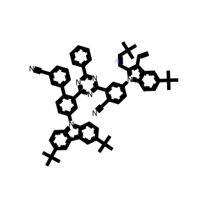 C=Cc1c(/C=C\C(C)(C)C)n(-c2ccc(C#N)c(-c3nc(-c4ccccc4)nc(-c4cc(-n5c6ccc(C(C)(C)C)cc6c6cc(C(C)(C)C)ccc65)ccc4-c4cccc(C#N)c4)n3)c2)c2ccc(C(C)(C)C)cc12